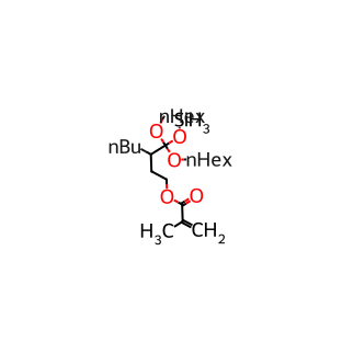 C=C(C)C(=O)OCCC(CCCC)C(O[SiH3])(OCCCCCC)OCCCCCC